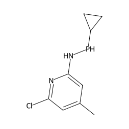 Cc1cc(Cl)nc(NPC2CC2)c1